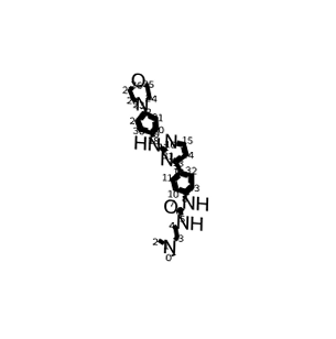 CN(C)CCNC(=O)Nc1ccc(-c2ccnc(Nc3ccc(N4CCOCC4)cc3)n2)cc1